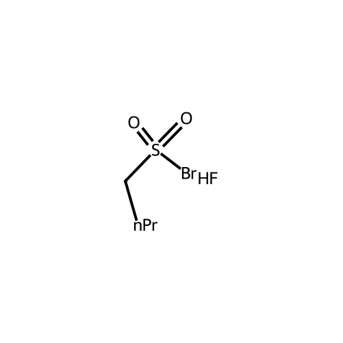 CCCCS(=O)(=O)Br.F